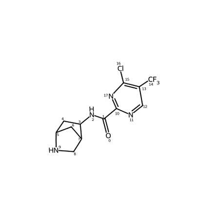 O=C(NC1CC2CC1CN2)c1ncc(C(F)(F)F)c(Cl)n1